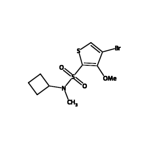 COc1c(Br)csc1S(=O)(=O)N(C)C1CCC1